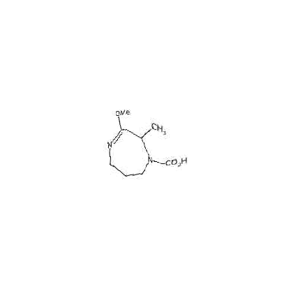 COC1=NCCCN(C(=O)O)C1C